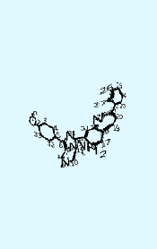 COC1CCC(C2=C3C=NC=C[N+]3(N)C(c3ccc4ccc(-c5ccccc5)nc4c3)=N2)CC1